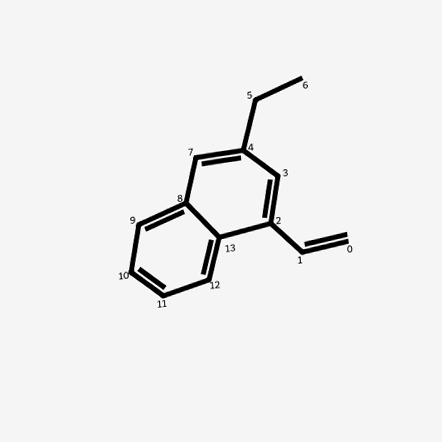 C=Cc1cc(CC)cc2ccccc12